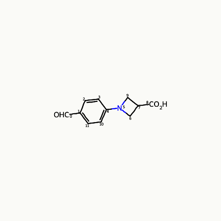 O=Cc1ccc(N2CC(C(=O)O)C2)cc1